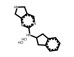 Cl.Cl.c1ccc2c(c1)CC(Nc1ncc3c(n1)CNC3)C2